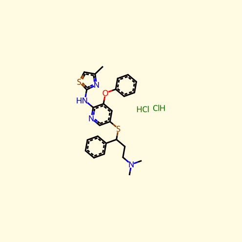 Cc1csc(Nc2ncc(SC(CCN(C)C)c3ccccc3)cc2Oc2ccccc2)n1.Cl.Cl